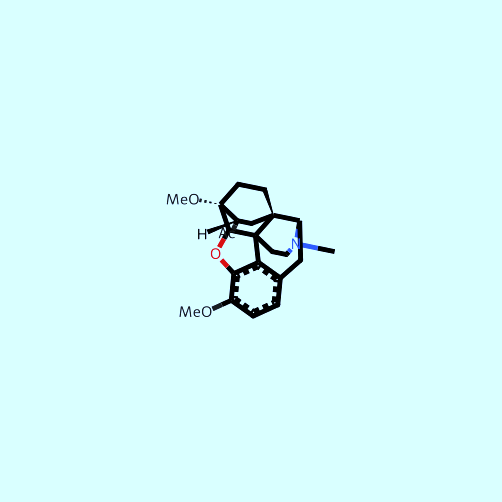 COc1ccc2c3c1OC1C34CCN(C)C(C2)[C@]42CC[C@@]1(OC)[C@@H](C(C)=O)C2